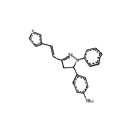 CC(C)(C)c1ccc(C2CC(C=Cc3ccsc3)=NN2c2ccccc2)cc1